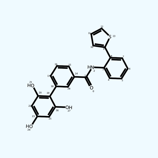 O=C(Nc1ccccc1-c1cccs1)c1cccc(-c2c(O)cc(O)cc2O)c1